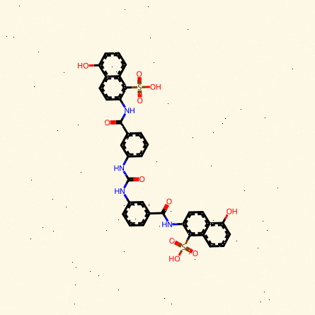 O=C(Nc1cccc(C(=O)Nc2ccc3c(O)cccc3c2S(=O)(=O)O)c1)Nc1cccc(C(=O)Nc2ccc3c(O)cccc3c2S(=O)(=O)O)c1